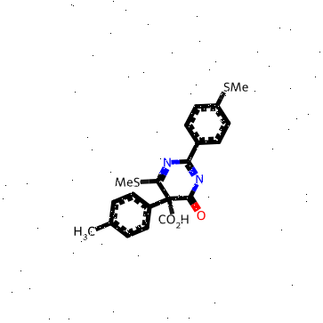 CSC1=NC(c2ccc(SC)cc2)=NC(=O)C1(C(=O)O)c1ccc(C)cc1